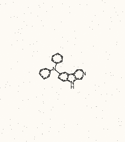 c1ccc(N(c2ccccc2)c2ccc3[nH]c4cnccc4c3c2)cc1